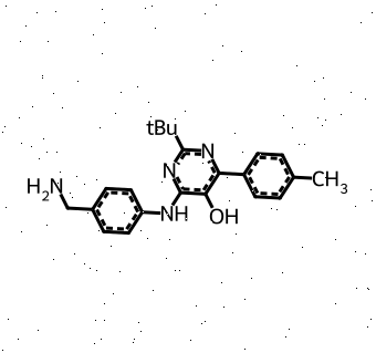 Cc1ccc(-c2nc(C(C)(C)C)nc(Nc3ccc(CN)cc3)c2O)cc1